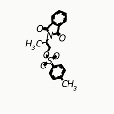 Cc1ccc(S(=O)(=O)OC[C@@H](C)N2C(=O)c3ccccc3C2=O)cc1